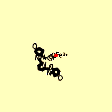 COc1ccc2c(c1)nc(-c1cccc(-c3nc4cc(OC)ccc4n3C)n1)n2C.[Cl-].[Cl-].[Cl-].[Fe+3]